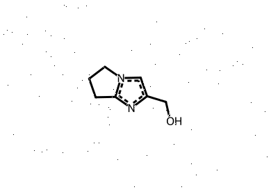 OCc1cn2c(n1)CCC2